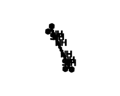 S=C(NCCCNCCCCCCCNCCCNC(=S)NCCC(c1ccccc1)c1ccccc1)NCCC(c1ccccc1)c1ccccc1